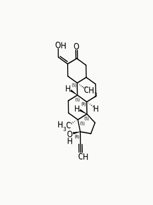 C#C[C@@]1(O)CC[C@H]2[C@@H]3CCC4CC(=O)C(=CO)C[C@]4(C)[C@H]3CC[C@@]21C